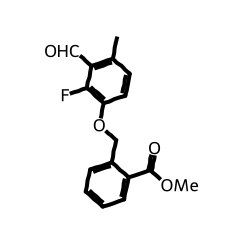 COC(=O)c1ccccc1COc1ccc(C)c(C=O)c1F